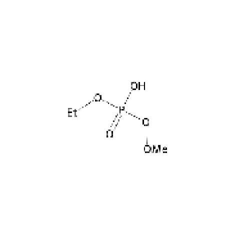 CCOP(=O)(O)OOC